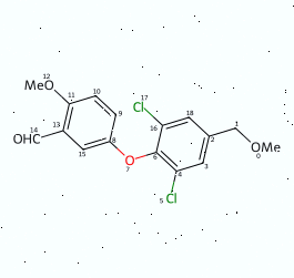 COCc1cc(Cl)c(Oc2ccc(OC)c(C=O)c2)c(Cl)c1